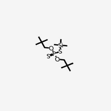 CC(C)(C)COP(=S)(OCC(C)(C)C)S[Si](C)(C)C